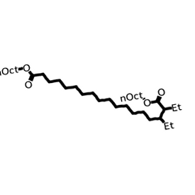 CCCCCCCCOC(=O)CCCCCCCCCCCCCCC(CC)C(CC)C(=O)OCCCCCCCC